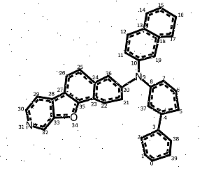 c1ccc(-c2cccc(N(c3ccc4ccccc4c3)c3ccc4c(ccc5c6ccncc6oc45)c3)c2)cc1